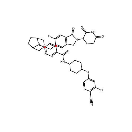 N#Cc1ccc(OC2CCC(NC(=O)c3ccc(N4C5CCC4CN(Cc4cc6c(cc4F)C(=O)N(C4CCC(=O)NC4=O)C6)C5)nn3)CC2)cc1Cl